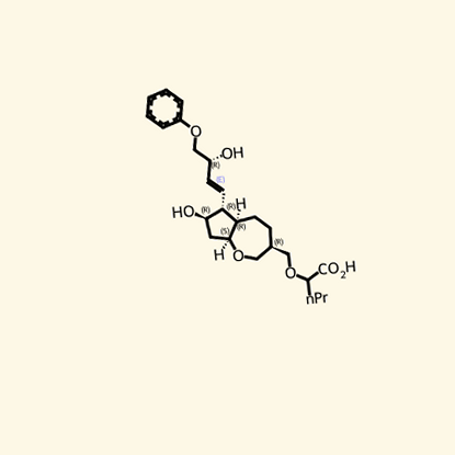 CCCC(OC[C@@H]1CC[C@@H]2[C@@H](/C=C/[C@@H](O)COc3ccccc3)[C@H](O)C[C@@H]2OC1)C(=O)O